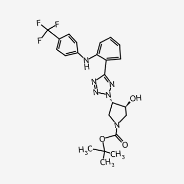 CC(C)(C)OC(=O)N1C[C@H](O)[C@@H](n2nnc(-c3ccccc3Nc3ccc(C(F)(F)F)cc3)n2)C1